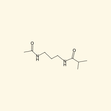 CC(=O)NCCCNC(=O)C(C)C